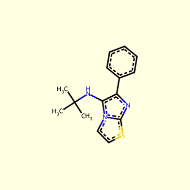 CC(C)(C)Nc1c(-c2ccccc2)nc2sccn12